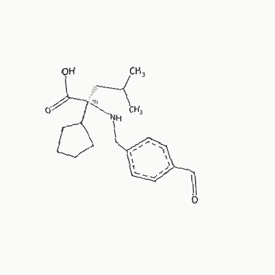 CC(C)C[C@@](NCc1ccc(C=O)cc1)(C(=O)O)C1CCCC1